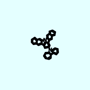 C1#CC2C(=CC=C1)N(c1cc3c4cc5ccccc5cc4n4c5cc6ccccc6cc5c(c1)c34)c1ccccc12